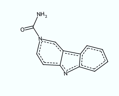 NC(=O)n1ccc2nc3ccccc3c-2c1